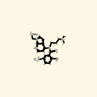 COCn1ccc2c(N(CCCN(C)C)C(=O)c3cc([N+](=O)[O-])ccc3Br)ccnc21